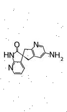 Nc1cnc2c(c1)C[C@]1(C2)C(=O)Nc2ncccc21